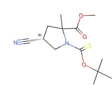 COC(=O)C1(C)C[C@@H](C#N)CN1C(=S)OC(C)(C)C